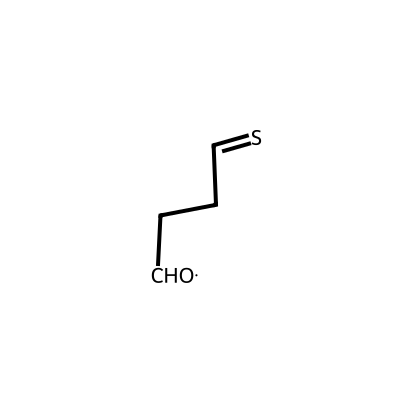 O=[C]CCC=S